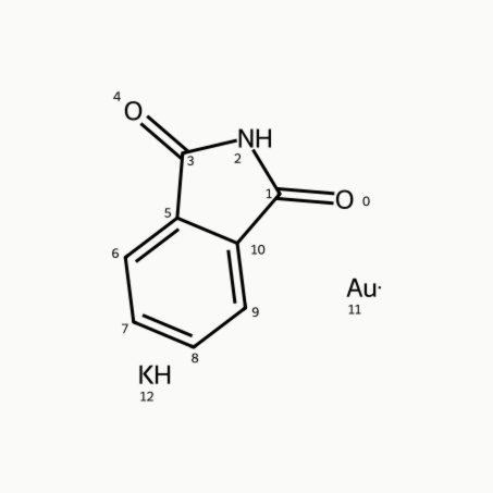 O=C1NC(=O)c2ccccc21.[Au].[KH]